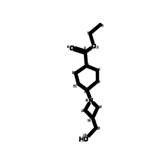 CCOC(=O)C1CCC(N2CC(CO)C2)CC1